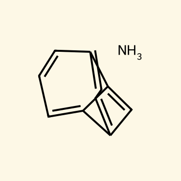 N.c1cc2ccc3cc2c3c1